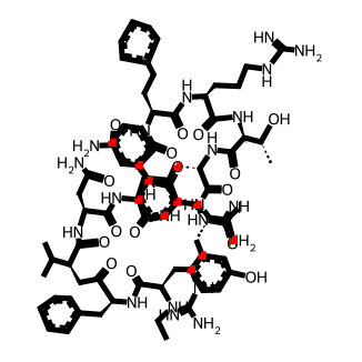 CCN[C@H](Cc1ccc(O)cc1)C(=O)N[C@@H](Cc1ccccc1)C(=O)C[C@H](C(=O)N[C@@H](CC(N)=O)C(=O)N[C@@H](Cc1ccccc1)C(=O)NC(CNC(=N)N)C(=O)N[C@@H](CC(N)=O)C(=O)N[C@@H](CCc1ccccc1)C(=O)N[C@@H](CCCNC(=N)N)C(=O)N[C@H](C(=O)N[C@@H](Cc1ccccc1)C(=O)N[C@@H](CCCNC(=N)N)C(=O)I)[C@@H](C)O)C(C)C